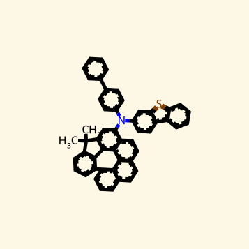 CC1(C)c2cccc3c2-c2c1cc(N(c1ccc(-c4ccccc4)cc1)c1ccc4c(c1)sc1ccccc14)c1ccc4ccc5cccc-3c5c4c21